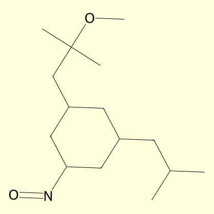 COC(C)(C)CC1CC(CC(C)C)CC(N=O)C1